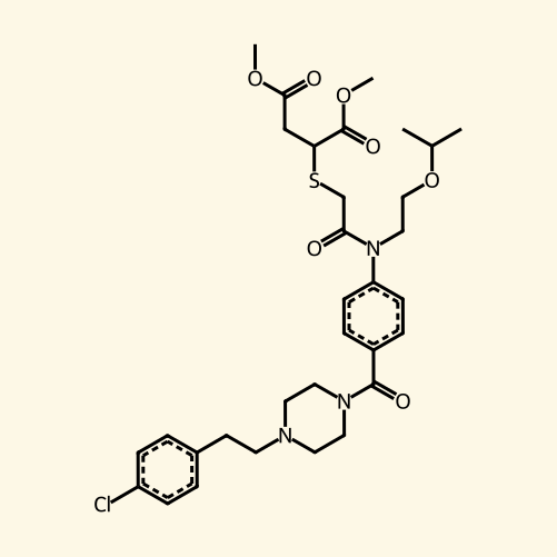 COC(=O)CC(SCC(=O)N(CCOC(C)C)c1ccc(C(=O)N2CCN(CCc3ccc(Cl)cc3)CC2)cc1)C(=O)OC